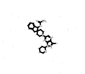 NC(=O)OC1c2ccccc2CC12CCN(c1cnc3c(I)nn(C4CCCCO4)c3n1)CC2